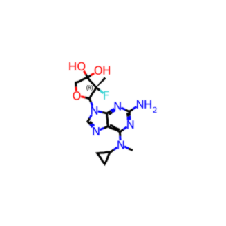 CN(c1nc(N)nc2c1ncn2C1OCC(O)(O)[C@]1(C)F)C1CC1